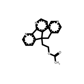 CC(=O)OCCC1(Cc2ccncc2)c2cccnc2-c2ncccc21